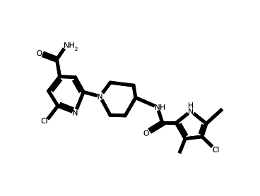 Cc1[nH]c(C(=O)NC2CCN(c3cc(C(N)=O)cc(Cl)n3)CC2)c(C)c1Cl